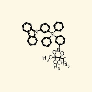 CC1(C)OB(c2cccc([Si](c3ccccc3)(c3ccccc3)c3cccc(-n4c5ccccc5c5ccccc54)c3)c2)OC1(C)C